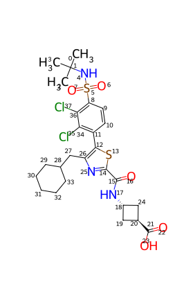 CC(C)(C)NS(=O)(=O)c1ccc(-c2sc(C(=O)N[C@H]3C[C@H](C(=O)O)C3)nc2CC2CCCCC2)c(Cl)c1Cl